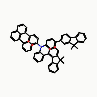 CC1(C)c2ccccc2-c2ccc(-c3ccc(N(c4ccc(-c5cccc6cccc(-c7ccccc7)c56)cc4)c4ccccc4-c4cccc5c4-c4ccccc4C5(C)C)cc3)cc21